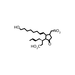 CC=CC[C@H](CC(=O)O)C1C(=O)CC(C[N+](=O)[O-])C1C=CCCCCCCO